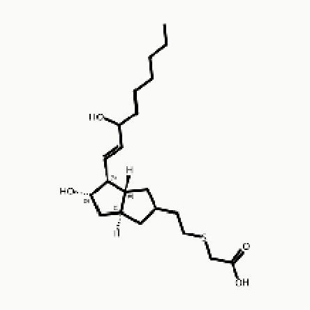 CCCCCCC(O)C=C[C@H]1[C@@H]2CC(CCSCC(=O)O)C[C@H]2C[C@@H]1O